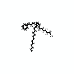 CCCCCCCCCCCCc1n(CCCCCCC)cc[n+]1CCCc1ccccc1